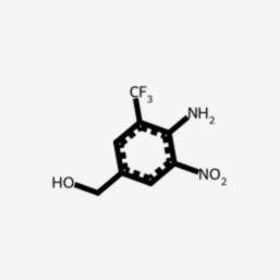 Nc1c([N+](=O)[O-])cc(CO)cc1C(F)(F)F